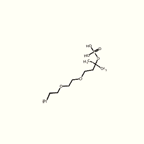 CC(C)CCOCCOCCC(C)(C)OP(=O)(O)O